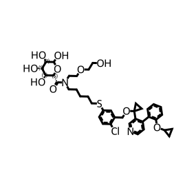 O=C([C@H]1OC(O)[C@H](O)[C@@H](O)[C@@H]1O)N(CCCCCSc1ccc(Cl)c(COC2(c3cnccc3-c3ccccc3OC3CC3)CC2)c1)CCOCCO